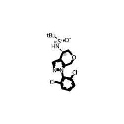 CC(C)(C)[S@+]([O-])N[C@@H]1COCc2c1cnn2-c1c(Cl)cccc1Cl